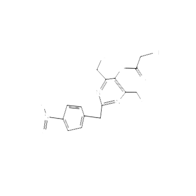 CCC(=O)Oc1c(CS)nc(Cc2ccc([N+](=O)[O-])cc2)nc1CS